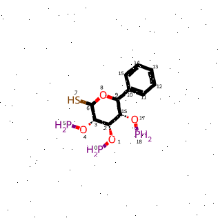 PO[C@H]1[C@H](OP)C(S)OC(c2ccccc2)[C@@H]1OP